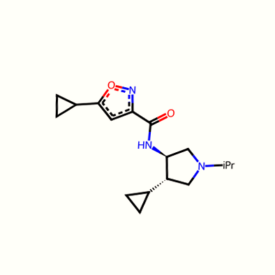 CC(C)N1C[C@H](NC(=O)c2cc(C3CC3)on2)[C@@H](C2CC2)C1